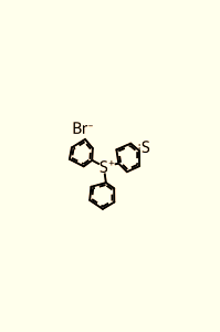 [Br-].[S].c1ccc([S+](c2ccccc2)c2ccccc2)cc1